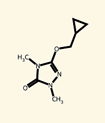 Cn1nc(OCC2CC2)n(C)c1=O